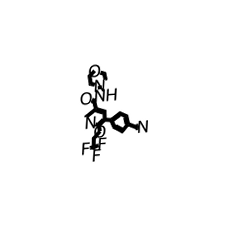 N#Cc1ccc(-c2cc(C(=O)NN3CCOCC3)cnc2OCC(F)(F)F)cc1